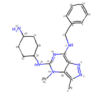 CC(C)c1nnc2c(NCc3ccccc3)nc(NC3CCC(N)CC3)n(C(C)C)c1-2